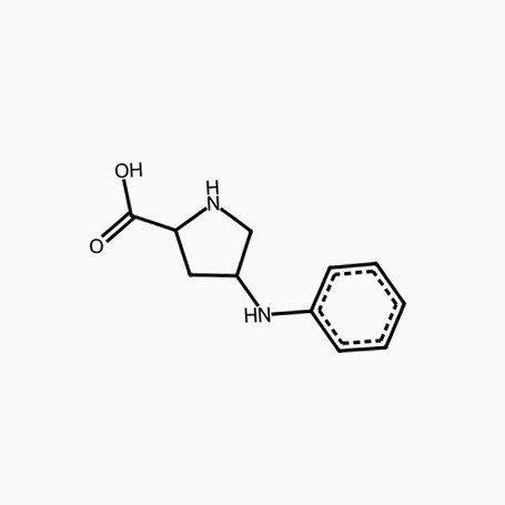 O=C(O)C1CC(Nc2ccccc2)CN1